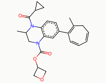 CC1=C(c2ccc3c(c2)N(C(=O)OC2COC2)CC(C)N3C(=O)C2CC2)C=CC=CC1